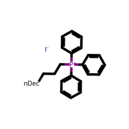 CCCCCCCCCCCCC[P+](c1ccccc1)(c1ccccc1)c1ccccc1.[I-]